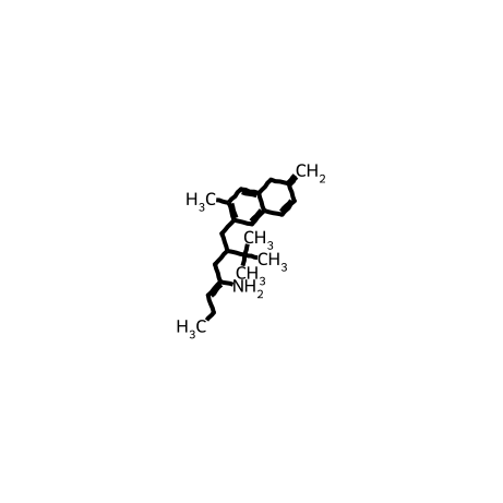 C=C1C=Cc2cc(CC(C/C(N)=C/CC)C(C)(C)C)c(C)cc2C1